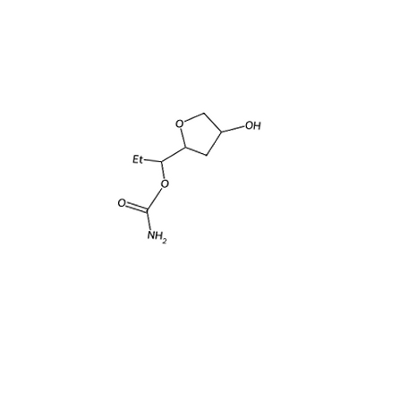 CCC(OC(N)=O)C1CC(O)CO1